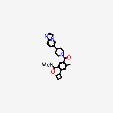 CNC(=O)c1cc(C(=O)N2CCC(c3ccc4nccn4c3)CC2)c(C)cc1C1CCC1